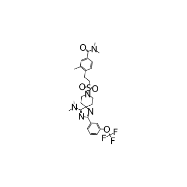 Cc1cc(C(=O)N(C)C)ccc1CCS(=O)(=O)N1CCC2(CC1)N=C(c1cccc(OC(F)(F)F)c1)N=C2N(C)C